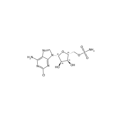 Nc1nc(Cl)nc2c1ncn2[C@@H]1O[C@H](COS(N)(=O)=O)[C@@H](O)[C@H]1O